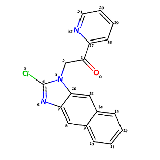 O=C(Cn1c(Cl)nc2cc3ccccc3cc21)c1ccccn1